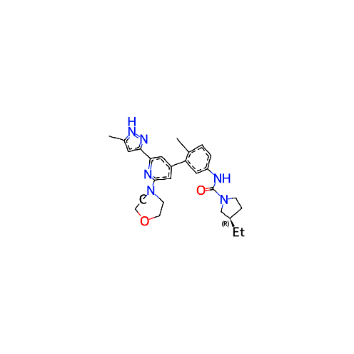 CC[C@@H]1CCN(C(=O)Nc2ccc(C)c(-c3cc(-c4cc(C)[nH]n4)nc(N4CCOCC4)c3)c2)C1